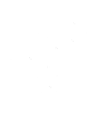 [2H]c1nc(N([2H])C2([2H])CCN(C([2H])c3ccc(F)c(C(=O)N([2H])C([2H])([2H])[2H])c3)CC2)c2c([2H])c(Cl)sc2n1